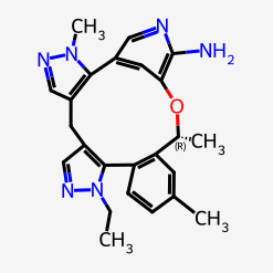 CCn1ncc2c1-c1ccc(C)cc1[C@@H](C)Oc1cc(cnc1N)-c1c(cnn1C)C2